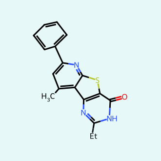 CCc1nc2c(sc3nc(-c4ccccc4)cc(C)c32)c(=O)[nH]1